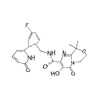 CC1(C)OCCn2c1nc(C(=O)NCc1ccc(F)cc1-c1cccc(=O)[nH]1)c(O)c2=O